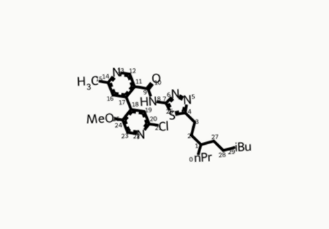 CCCC(CCc1nnc(NC(=O)c2cnc(C)cc2-c2cc(Cl)ncc2OC)s1)CCC(C)CC